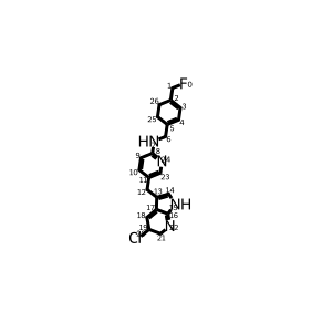 FCC1=CC=C(CNc2ccc(Cc3c[nH]c4c3=CC(Cl)CN=4)cn2)CC1